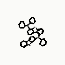 c1ccc(N(c2ccccc2)c2cccc3c2oc2cccc(N(c4ccccc4)c4ccc5c(c4)sc4ccccc45)c23)cc1